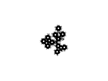 CC1(c2ccccc2)c2ccccc2-c2cc(N(c3ccc4c(c3)-c3ccccc3C43c4ccccc4-c4ccccc43)c3ccc4c(c3)sc3cccc(N(c5ccccc5)c5ccccc5)c34)ccc21